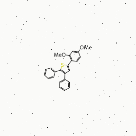 COc1ccc(-c2cc(-c3ccccc3)c(-c3ccccc3)s2)c(OC)c1